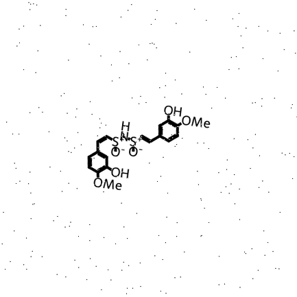 COc1ccc(/C=C\[S+]([O-])N[S+]([O-])/C=C/c2ccc(OC)c(O)c2)cc1O